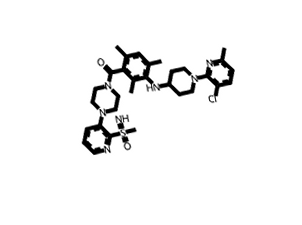 Cc1ccc(Cl)c(N2CCC(Nc3c(C)cc(C)c(C(=O)N4CCN(c5cccnc5S(C)(=N)=O)CC4)c3C)CC2)n1